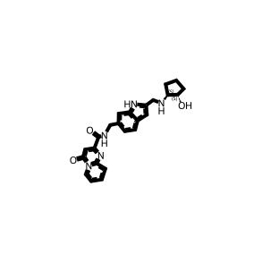 O=C(NCc1ccc2cc(CN[C@H]3CCC[C@@H]3O)[nH]c2c1)c1cc(=O)n2ccccc2n1